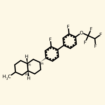 CC1CC[C@@H]2C[C@H](c3ccc(-c4ccc(OC(F)(F)C(F)F)c(F)c4)c(F)c3)CC[C@@H]2C1